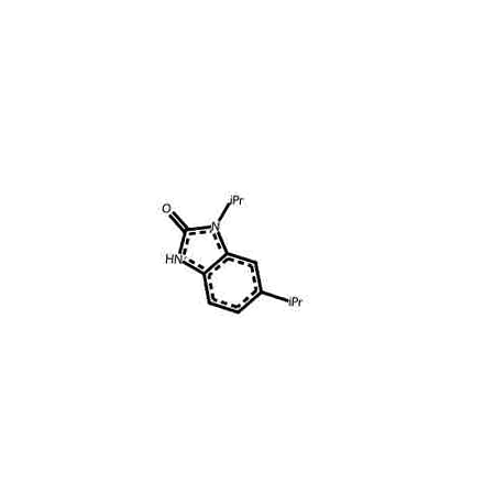 CC(C)c1ccc2[nH]c(=O)n(C(C)C)c2c1